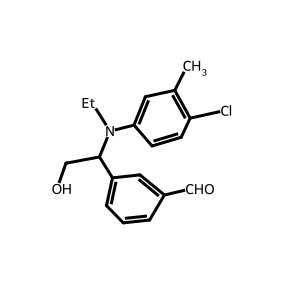 CCN(c1ccc(Cl)c(C)c1)C(CO)c1cccc(C=O)c1